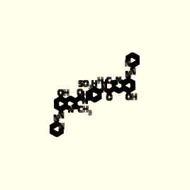 Cc1nc2c(/N=N/c3ccccn3)ccc(O)c2cc1C(=O)Nc1ccc(NC(=O)c2cc3c(O)ccc(/N=N/c4ccccn4)c3nc2C)c(S(=O)(=O)O)c1